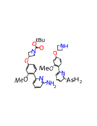 COc1cc(OC2CN(C(=O)OC(C)(C)C)C2)ccc1-c1cccc(N)n1.COc1cc(OC2CNC2)ccc1-c1cccc([AsH2])n1